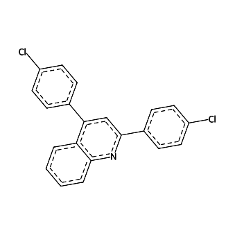 Clc1ccc(-c2cc(-c3ccc(Cl)cc3)c3ccccc3n2)cc1